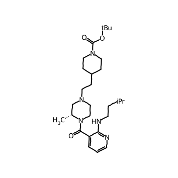 CC(C)CCNc1ncccc1C(=O)N1CCN(CCC2CCN(C(=O)OC(C)(C)C)CC2)C[C@H]1C